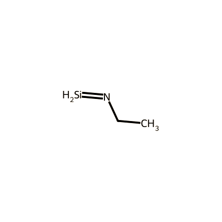 CCN=[SiH2]